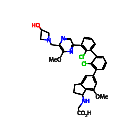 COc1cc(-c2cccc(-c3cccc(-c4cnc(CN5CC(O)C5)c(OC)n4)c3Cl)c2Cl)cc2c1C(NCC(=O)O)CC2